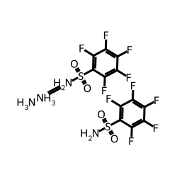 C=C.N.N.NS(=O)(=O)c1c(F)c(F)c(F)c(F)c1F.NS(=O)(=O)c1c(F)c(F)c(F)c(F)c1F